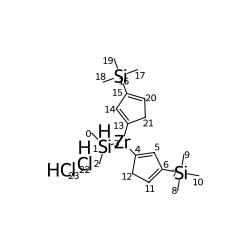 C[SiH](C)[Zr]([C]1=CC([Si](C)(C)C)=CC1)[C]1=CC([Si](C)(C)C)=CC1.Cl.Cl